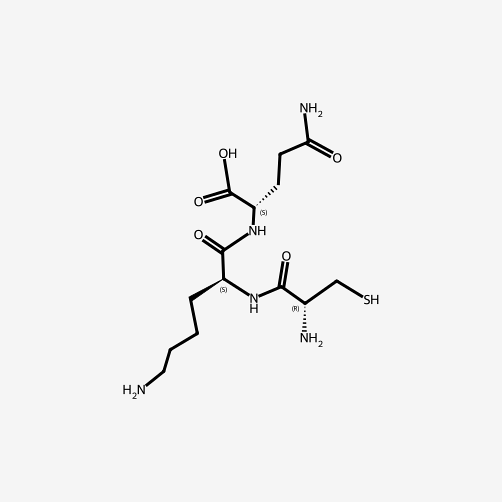 NCCCC[C@H](NC(=O)[C@@H](N)CS)C(=O)N[C@@H](CCC(N)=O)C(=O)O